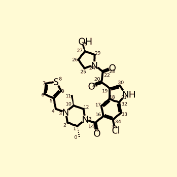 C[C@@H]1CN(Cc2ccsc2)[C@@H](C)CN1C(=O)c1cc2c(C(=O)C(=O)N3CC[C@@H](O)C3)c[nH]c2cc1Cl